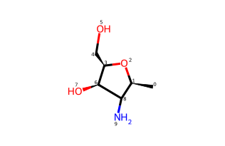 C[C@@H]1O[C@H](CO)[C@H](O)C1N